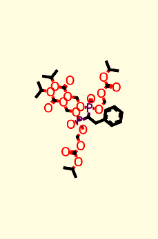 CC(C)OC(=O)OCOP(=O)(OCOC(=O)OC(C)C)C(Cc1ccccc1)P(=O)(OCOC(=O)OC(C)C)OCOC(=O)OC(C)C